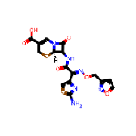 Nc1nc(C(=NOCc2ccon2)C(=O)NC2C(=O)N3C=C(C(=O)O)CS[C@H]23)cs1